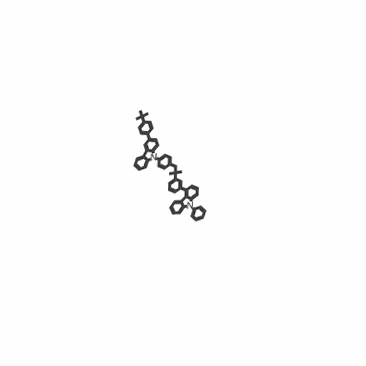 CC(C)(C)c1ccc(-c2ccc3c(c2)c2ccccc2n3-c2ccc(CC(C)(C)c3cccc(-c4cccc5c4c4ccccc4n5-c4ccccc4)c3)cc2)cc1